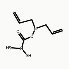 C=CCN(CC=C)OC(=O)N(S)S